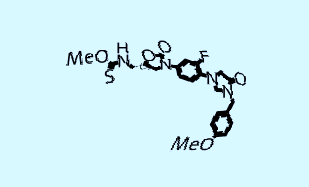 COC(=S)NC[C@H]1CN(c2ccc(N3CC(=O)N(Cc4ccc(OC)cc4)C3)c(F)c2)C(=O)O1